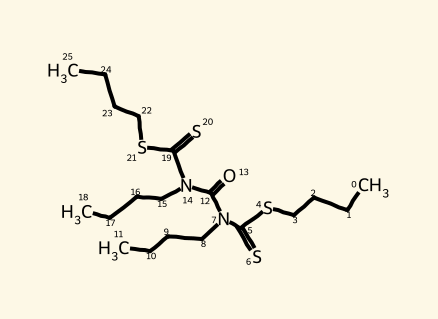 CCCCSC(=S)N(CCCC)C(=O)N(CCCC)C(=S)SCCCC